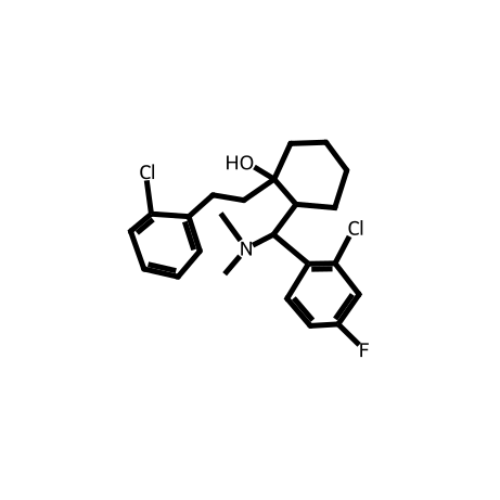 CN(C)C(c1ccc(F)cc1Cl)C1CCCCC1(O)CCc1ccccc1Cl